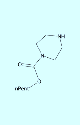 CCCCCOC(=O)N1CCNCC1